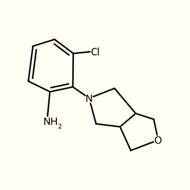 Nc1cccc(Cl)c1N1CC2COCC2C1